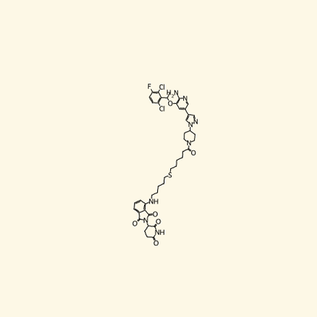 CC(Oc1cc(-c2cnn(C3CCN(C(=O)CCCCCSCCCCCNc4cccc5c4C(=O)N(C4CCC(=O)NC4=O)C5=O)CC3)c2)cnc1N)c1c(Cl)ccc(F)c1Cl